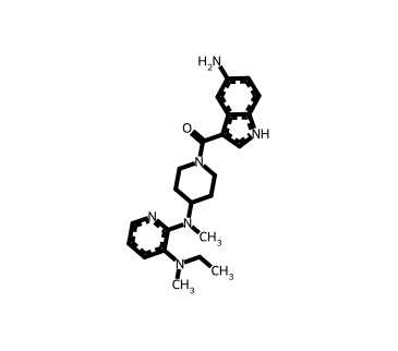 CCN(C)c1cccnc1N(C)C1CCN(C(=O)c2c[nH]c3ccc(N)cc23)CC1